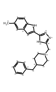 Cc1ccc2[nH]c(-c3nnc(CN4CCC(Cc5ccccc5)CC4)[nH]3)cc2c1